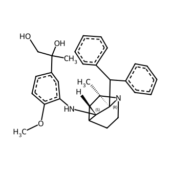 COc1ccc(C(C)(O)CO)cc1N[C@H]1C2CCN(CC2)[C@]1(C)C(c1ccccc1)c1ccccc1